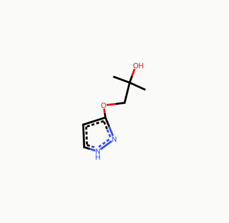 CC(C)(O)COc1cc[nH]n1